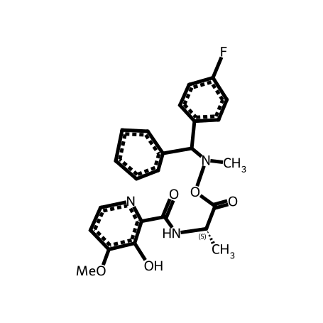 COc1ccnc(C(=O)N[C@@H](C)C(=O)ON(C)C(c2ccccc2)c2ccc(F)cc2)c1O